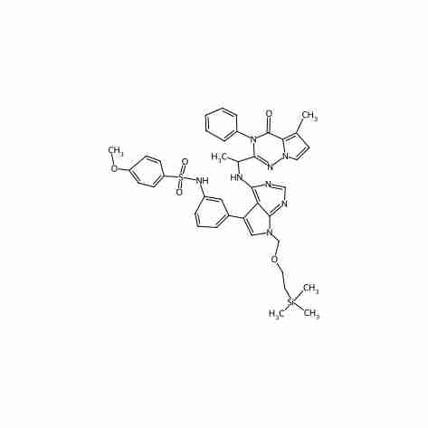 COc1ccc(S(=O)(=O)Nc2cccc(-c3cn(COCC[Si](C)(C)C)c4ncnc(NC(C)c5nn6ccc(C)c6c(=O)n5-c5ccccc5)c34)c2)cc1